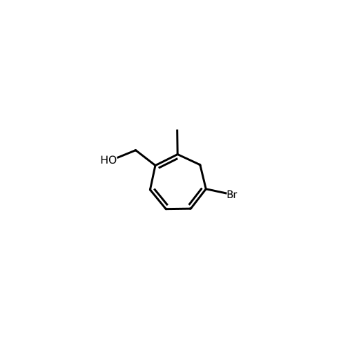 CC1=C(CO)C=CC=C(Br)C1